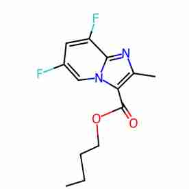 CCCCOC(=O)c1c(C)nc2c(F)cc(F)cn12